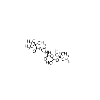 CC(C)(C)OC(O)OC(=O)NCNC(=O)C(C)(C)C